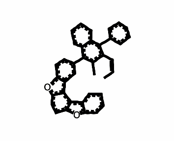 C/C=C\c1c(C)c(-c2ccc3oc4ccc5oc6ccccc6c5c4c3c2)c2ccccc2c1-c1ccccc1